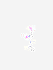 O=C(/C=C/c1ccc(CNCCc2c[nH]c3ccccc23)c([N+](=O)O)c1)NO